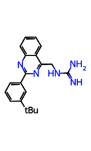 CC(C)(C)c1cccc(-c2nc(CNC(=N)N)c3ccccc3n2)c1